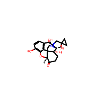 C[N@+]1(CC2(O)CC2)CC[C@]23c4c5ccc(O)c4O[C@H]2C(=O)CC[C@@]3(O)[C@H]1C5O